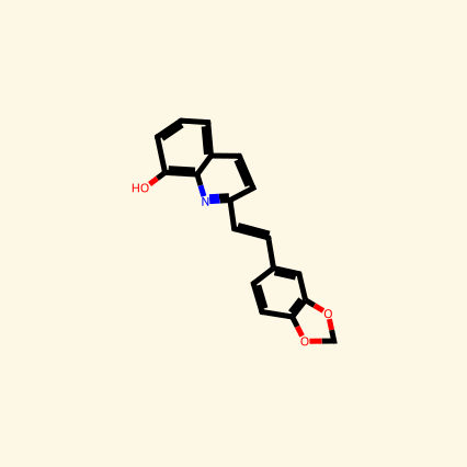 Oc1cccc2ccc(/C=C/c3ccc4c(c3)OCO4)nc12